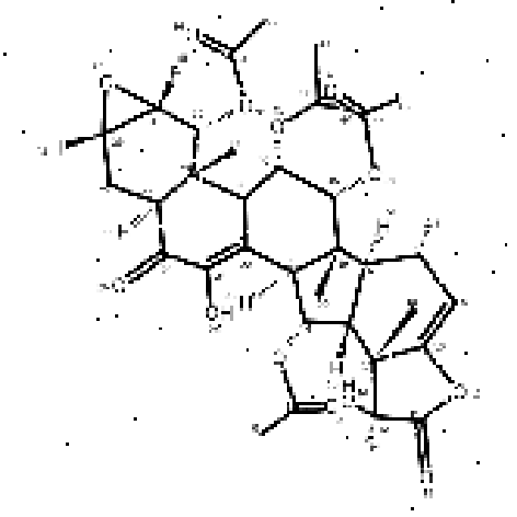 CC(=O)O[C@H]1[C@@H]2[C@H]([C@H](C)C=C3OC(=O)[C@@](C)(O)[C@@]32C)[C@]2(C)[C@@H]1C1=C(O)C(=O)[C@H]3C[C@@H]4O[C@@H]4[C@H](OC(C)=O)[C@]3(C)C1[C@H](OC(C)=O)[C@@H]2OC(C)=O